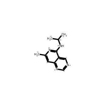 Cc1cc2ncncc2c(NC(C)C)n1